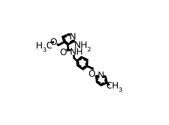 COCc1ccnc(N)c1C(=O)NCc1ccc(COc2ccc(C)cn2)cc1